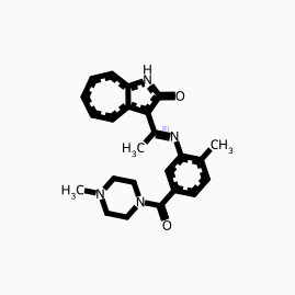 C/C(=N\c1cc(C(=O)N2CCN(C)CC2)ccc1C)c1c2cccccc-2[nH]c1=O